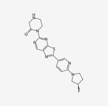 O=C1CNCCN1c1ncc2nc(-c3ccc(N4CC[C@@H](F)C4)nc3)sc2n1